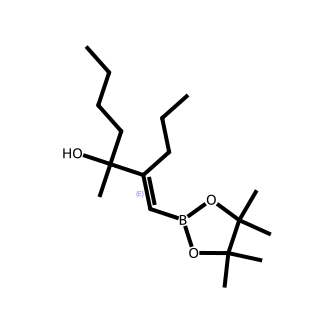 CCCCC(C)(O)/C(=C/B1OC(C)(C)C(C)(C)O1)CCC